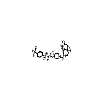 O=C1CO[C@H]2CCN(C(=O)N3CCC4(CC3)C[C@H](NS(=O)(=O)c3ccc(C(F)(F)F)cc3)CO4)C[C@H]2N1